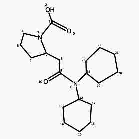 O=C(O)N1CCCC1CC(=O)N(C1CCCCC1)C1CCCCC1